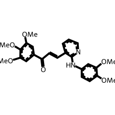 COc1ccc(Nc2ncccc2C=CC(=O)c2cc(OC)c(OC)c(OC)c2)cc1OC